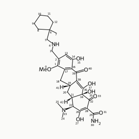 COc1c(CNCC2(C)CCCCC2)cc(O)c2c1C[C@H]1C[C@H]3[C@H](N(C)C)C(O)=C(C(N)=O)C(=O)[C@@]3(O)C(O)=C1C2=O